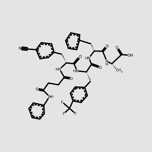 C[C@H](NC(=O)[C@@H](Cc1ccccc1)NC(=O)[C@H](Cc1ccc(C(F)(F)F)cc1)NC(=O)[C@@H](Cc1ccc(C#N)cc1)NC(=O)CCC(=O)Nc1ccccc1)C(=O)O